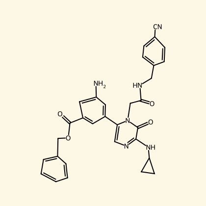 N#Cc1ccc(CNC(=O)Cn2c(-c3cc(N)cc(C(=O)OCc4ccccc4)c3)cnc(NC3CC3)c2=O)cc1